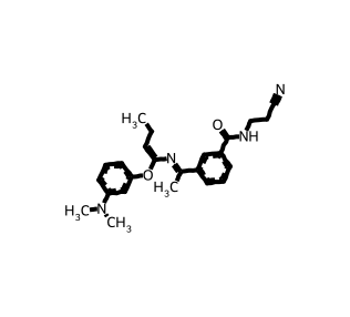 CC/C=C(\N=C(/C)c1cccc(C(=O)NCCC#N)c1)Oc1cccc(N(C)C)c1